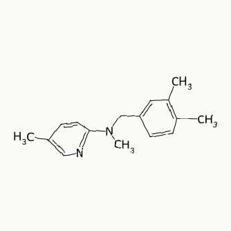 Cc1ccc(N(C)Cc2ccc(C)c(C)c2)nc1